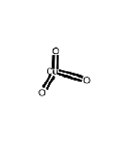 [O]=[Cu](=[O])=[O]